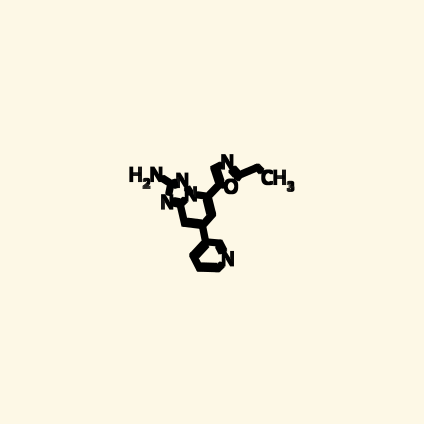 CCc1ncc(-c2cc(-c3cccnc3)cc3nc(N)nn23)o1